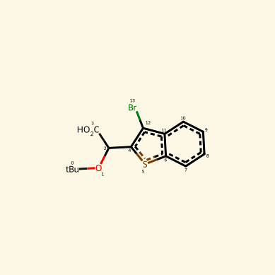 CC(C)(C)OC(C(=O)O)c1sc2ccccc2c1Br